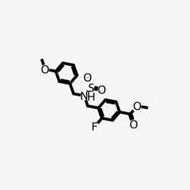 COC(=O)c1ccc(CN(Cc2cccc(OC)c2)[SH](=O)=O)c(F)c1